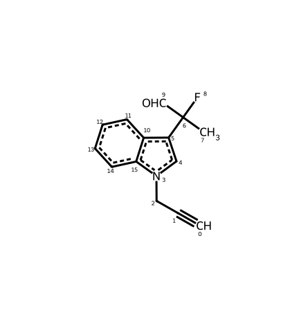 C#CCn1cc(C(C)(F)C=O)c2ccccc21